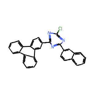 Clc1nc(-c2ccc3ccccc3c2)nc(-c2ccc3c4ccccc4c4ccccc4c3c2)n1